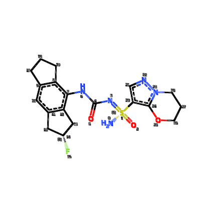 N[S@](=O)(=NC(=O)Nc1c2c(cc3c1C[C@H](F)C3)CCC2)c1cnn2c1OCCC2